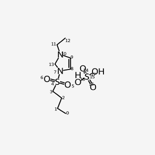 CCCCS(=O)(=O)N1C=CN(CC)C1.O=S(=O)(O)O